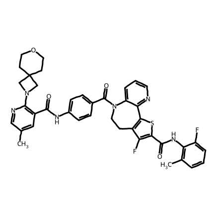 Cc1cnc(N2CC3(CCOCC3)C2)c(C(=O)Nc2ccc(C(=O)N3CCc4c(sc(C(=O)Nc5c(C)cccc5F)c4F)-c4ncccc43)cc2)c1